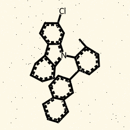 Cc1cccc(-c2ccc3ccccc3c2)c1-n1c2ccccc2c2ccc(Cl)cc21